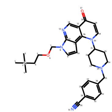 C[Si](C)(C)CCOCn1ccc2c1ncc1c(=O)ccn(C3CCN(Cc4ccc(C#N)cc4)CC3)c12